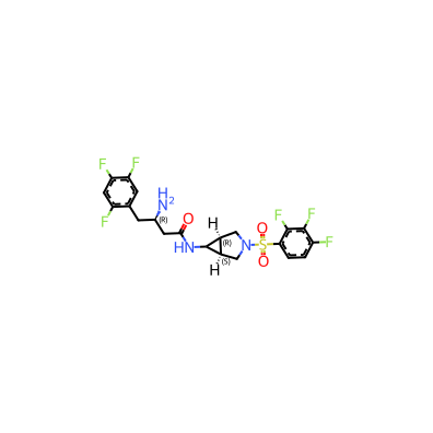 N[C@@H](CC(=O)NC1[C@H]2CN(S(=O)(=O)c3ccc(F)c(F)c3F)C[C@@H]12)Cc1cc(F)c(F)cc1F